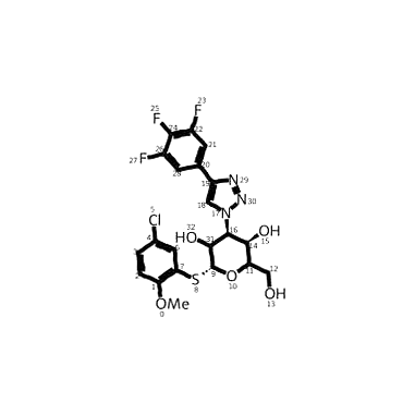 COc1ccc(Cl)cc1S[C@H]1OC(CO)[C@H](O)[C@H](n2cc(-c3cc(F)c(F)c(F)c3)nn2)C1O